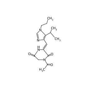 CCCn1cnc(/C=C2\NC(=O)CN(C(C)=O)C2=O)c1C(C)C